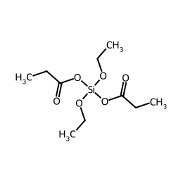 CCO[Si](OCC)(OC(=O)CC)OC(=O)CC